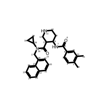 Cc1ccc(C(=O)NC2CCNCC2C(=O)N(Cc2cccc3ccccc23)C2CC2)cc1C